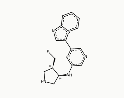 FC[C@@H]1CNC[C@@H]1Nc1cncc(-c2cnc3ccccn23)n1